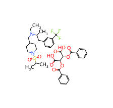 CCN(CC1CCN(S(=O)(=O)C(C)C)CC1)C(C)Cc1cccc(C(F)(F)F)c1.O=C(O[C@@H](C(=O)O)[C@@H](OC(=O)c1ccccc1)C(=O)O)c1ccccc1